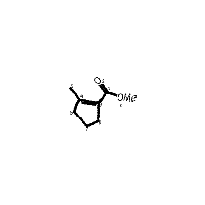 COC(=O)C1=C(C)CCC1